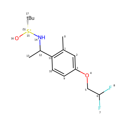 Cc1cc(OCC(F)F)ccc1C(C)N[S@+]([O-])C(C)(C)C